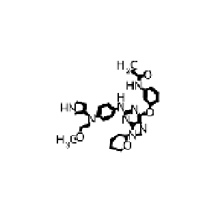 C=CC(=O)Nc1cccc(Oc2nc(Nc3ccc(N(CCOC)C4CCNC4)cc3)nc3c2ncn3C2CCCCO2)c1